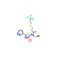 C#CCN(C(=C)CCSCCC(F)(F)F)c1sc(-c2cccnc2)nc1OC